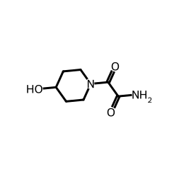 NC(=O)C(=O)N1CCC(O)CC1